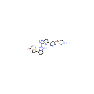 CC(=O)c1ccc(-c2cccc3[nH]c(-c4n[nH]c5ccc(-c6cncc(OC7CCNCC7)c6)nc45)nc23)s1